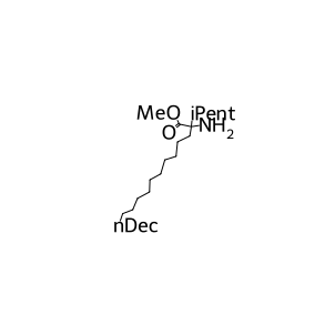 CCCCCCCCCCCCCCCCCCCCC(N)(C(=O)OC)C(C)CCC